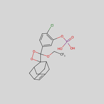 O=P(O)(O)Oc1cc(C2(OCC(F)(F)F)OOC23C2CC4=CC(C2)CC3C4)ccc1Cl